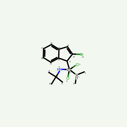 C[SiH](C)[Zr]([Cl])([Cl])([NH]C(C)(C)C)[CH]1C(Br)=Cc2ccccc21